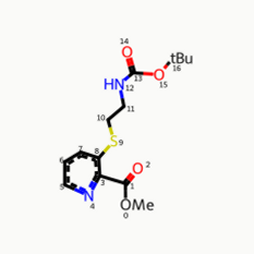 COC(=O)c1ncccc1SCCNC(=O)OC(C)(C)C